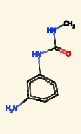 CNC(=O)Nc1cccc(N)c1